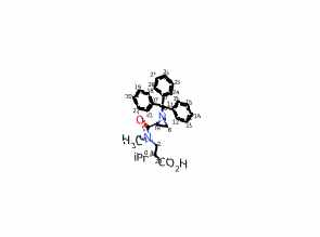 CC(C)[C@H](CN(C)C(=O)[C@@H]1CN1C(c1ccccc1)(c1ccccc1)c1ccccc1)C(=O)O